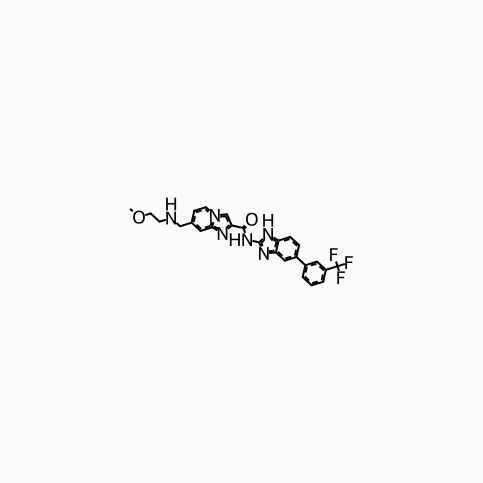 COCCNCc1ccn2cc(C(=O)Nc3nc4cc(-c5cccc(C(F)(F)F)c5)ccc4[nH]3)nc2c1